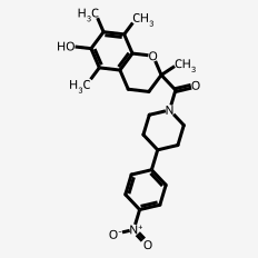 Cc1c(C)c2c(c(C)c1O)CCC(C)(C(=O)N1CCC(c3ccc([N+](=O)[O-])cc3)CC1)O2